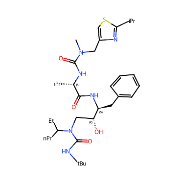 CCCC(CC)N(C[C@@H](O)[C@H](Cc1ccccc1)NC(=O)[C@@H](NC(=O)N(C)Cc1csc(C(C)C)n1)C(C)C)C(=O)NC(C)(C)C